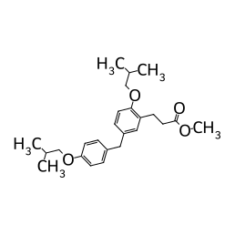 COC(=O)CCc1cc(Cc2ccc(OCC(C)C)cc2)ccc1OCC(C)C